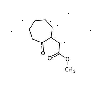 COC(=O)CC1CCCCCC1=O